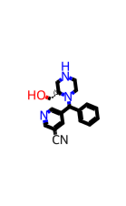 N#Cc1cncc(C(c2ccccc2)N2CCNC[C@H]2CO)c1